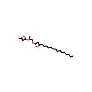 [CH2]C(COc1cc(CCCCCCCCCCCCCCC)on1)Oc1cc(C)on1